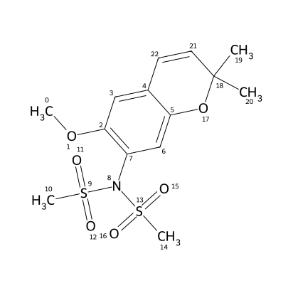 COc1cc2c(cc1N(S(C)(=O)=O)S(C)(=O)=O)OC(C)(C)C=C2